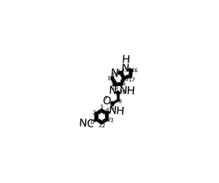 N#Cc1ccc(NC(=O)Cc2nc3cnc4[nH]ccc4c3[nH]2)cc1